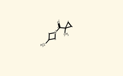 CC1CN(C(=O)C2(C)CC2)C1